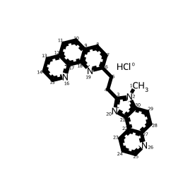 Cl.Cn1c(CCc2ccc3ccc4cccnc4c3n2)nc2c3cccnc3ccc21